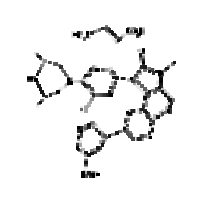 COc1cncc(-c2ccc3ncc4c(c3c2)n(-c2ccc(N3CC(C)NC(C)C3)c(Cl)c2)c(=O)n4C)c1.O=C(O)C=CC(=O)O